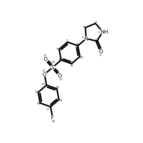 O=C1NCCN1c1ccc(S(=O)(=O)Oc2ccc(F)cc2)cc1